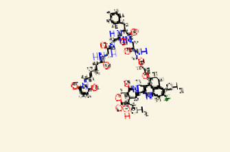 CC[C@@]1(O)C(=O)OCc2c1cc1n(c2=O)Cc2c-1nc1cc(F)c(C)c3c1c2[C@H](OCCOCNC(=O)CNC(=O)[C@H](Cc1ccccc1)NC(=O)CNC(=O)CNC(=O)CCCCCN1C(=O)C=CC1=O)CC3